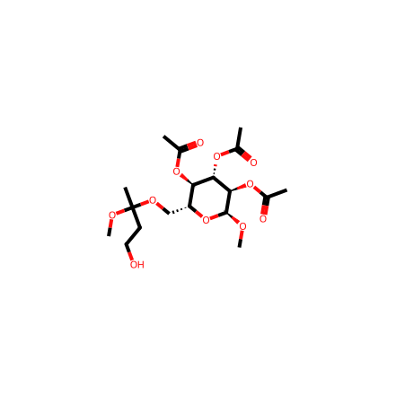 CO[C@H]1O[C@H](COC(C)(CCO)OC)[C@@H](OC(C)=O)[C@H](OC(C)=O)[C@H]1OC(C)=O